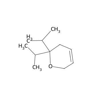 CC(C)C1(C(C)C)CC=CCO1